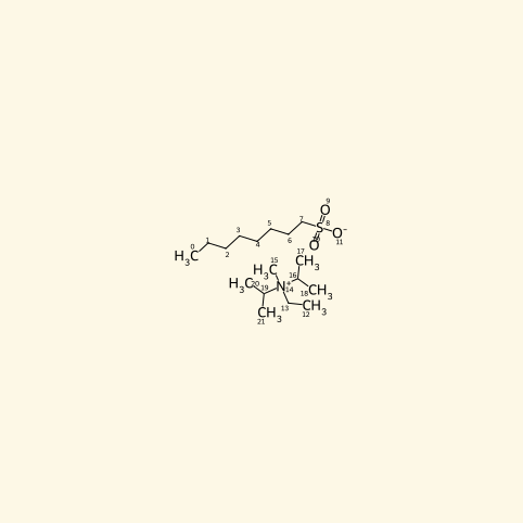 CCCCCCCCS(=O)(=O)[O-].CC[N+](C)(C(C)C)C(C)C